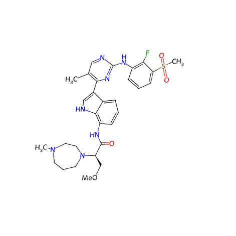 COC[C@H](C(=O)Nc1cccc2c(-c3nc(Nc4cccc(S(C)(=O)=O)c4F)ncc3C)c[nH]c12)N1CCCN(C)CC1